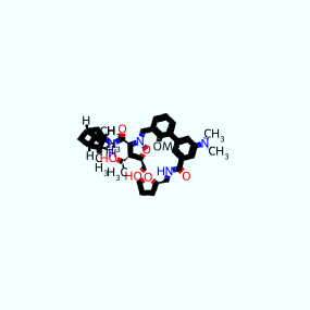 COc1c(CN2O[C@@H](CO)[C@H]([C@H](C)O)[C@H]2C(=O)N[C@H]2C[C@H]3C[C@@H]([C@@H]2C)C3(C)C)cccc1-c1cc(C(=O)NC[C@H]2CCCO2)cc(N(C)C)c1